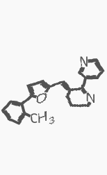 Cc1ccccc1-c1ccc(C=C2CCCN=C2c2cccnc2)o1